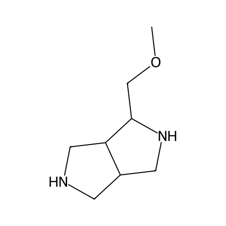 COCC1NCC2CNCC21